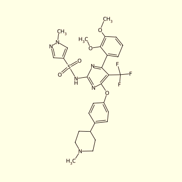 COc1cccc(-c2nc(NS(=O)(=O)c3cnn(C)c3)nc(Oc3ccc(C4CCN(C)CC4)cc3)c2C(F)(F)F)c1OC